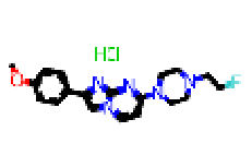 COc1ccc(-c2cn3ccc(N4CCN(CCF)CC4)nc3n2)cc1.Cl